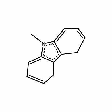 Cn1c2c(c3c1=CC=CC3)CC=CC=2